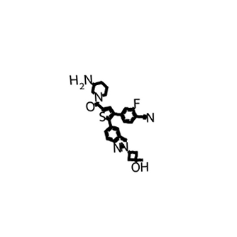 CC1(O)CC(n2cc3cc(-c4sc(C(=O)N5CCCC(N)C5)cc4-c4ccc(C#N)c(F)c4)ccc3n2)C1